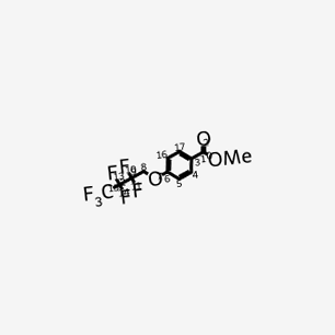 COC(=O)c1ccc(OCC(F)(F)C(F)(F)C(F)(F)F)cc1